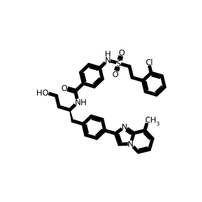 Cc1cccn2cc(-c3ccc(C[C@@H](CCO)NC(=O)c4ccc(NS(=O)(=O)CCc5ccccc5Cl)cc4)cc3)nc12